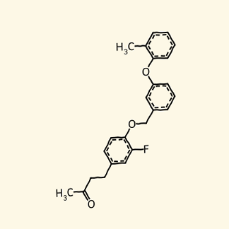 CC(=O)CCc1ccc(OCc2cccc(Oc3ccccc3C)c2)c(F)c1